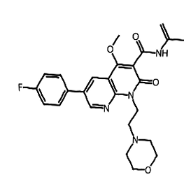 C=C(C)NC(=O)c1c(OC)c2cc(-c3ccc(F)cc3)cnc2n(CCN2CCOCC2)c1=O